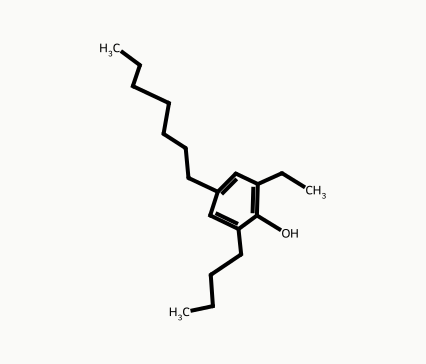 CCCCCCCc1cc(CC)c(O)c(CCCC)c1